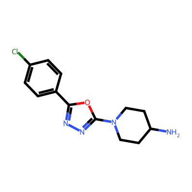 NC1CCN(c2nnc(-c3ccc(Cl)cc3)o2)CC1